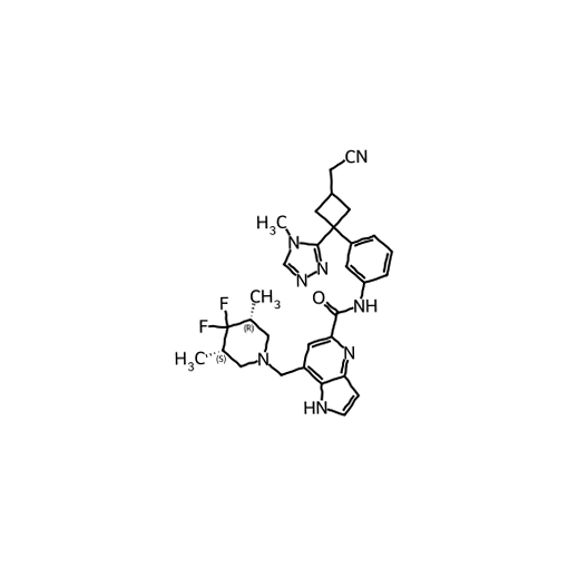 C[C@@H]1CN(Cc2cc(C(=O)Nc3cccc(C4(c5nncn5C)CC(CC#N)C4)c3)nc3cc[nH]c23)C[C@H](C)C1(F)F